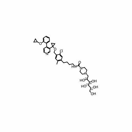 Cc1cc(COC2(c3cnccc3-c3ccccc3OC3CC3)CC2)c(Cl)cc1CCCCNC(=O)N1CCN(C[C@H](O)[C@@H](O)[C@@H](O)[C@H](O)CO)CC1